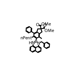 CCCCCc1c(B2Nc3cccc4cccc(c34)N2Cc2ccccc2)c(C)c2c(c1-c1ccccc1)CC(C(=O)OC)(C(=O)OC)C2